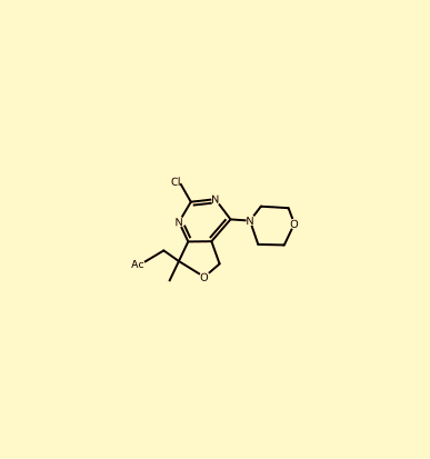 CC(=O)CC1(C)OCc2c(N3CCOCC3)nc(Cl)nc21